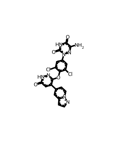 Nc1nn(-c2cc(Cl)c(Oc3n[nH]c(=O)cc3-c3ccn4nccc4c3)c(Cl)c2)c(=O)[nH]c1=O